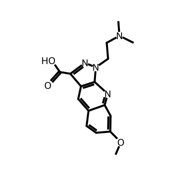 COc1ccc2cc3c(C(=O)O)nn(CCN(C)C)c3nc2c1